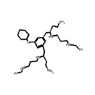 CC(C)CNCCCNC(CCN)Cc1cc(CC(CCN)NCCCNCC(C)C)cc(OC2CCCCC2)c1